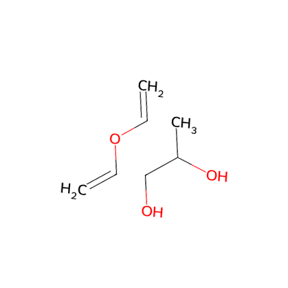 C=COC=C.CC(O)CO